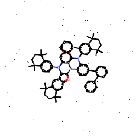 Cc1cc2c3c(c1)N(c1ccc4c(c1)C(C)(C)CCC4(C)C)c1c(oc4cc5c(cc14)C(C)(C)CCC5(C)C)B3c1ccc(-c3ccccc3-c3ccccc3)cc1N2c1cc2c(cc1-c1ccccc1)C(C)(C)CCC2(C)C